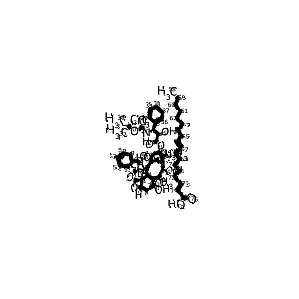 CC(=O)O[C@@]12CO[C@@H]1C[C@H](O)[C@@]1(C)C(=O)[C@H](O)C3=C(C)[C@@H](OC(=O)[C@H](O)[C@@H](NC(=O)OC(C)(C)C)c4ccccc4)C[C@@](O)([C@@H](OC(=O)c4ccccc4)[C@H]21)C3(C)C.CCCCCCCCC=CCCCCCCCC(=O)O